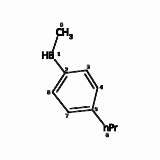 CBc1ccc(CCC)cc1